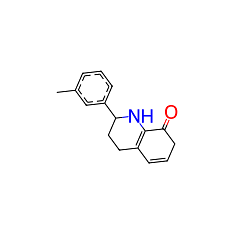 Cc1cccc(C2CCC3=C(N2)C(=O)CC=C3)c1